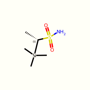 C[C@@H]([Si](C)(C)C)S(N)(=O)=O